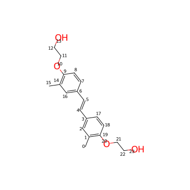 Cc1cc(C=Cc2ccc(OCCO)c(C)c2)ccc1OCCO